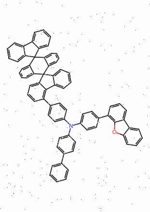 c1ccc(-c2ccc(N(c3ccc(-c4cccc5c4-c4ccccc4C54c5ccccc5C5(c6ccccc6-c6ccccc65)c5ccccc54)cc3)c3ccc(-c4cccc5c4oc4ccccc45)cc3)cc2)cc1